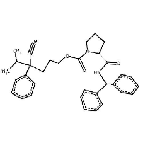 CC(C)C(C#N)(CCCOC(=O)N1CCC[C@@H]1C(=O)NC(c1ccccc1)c1ccccc1)c1ccccc1